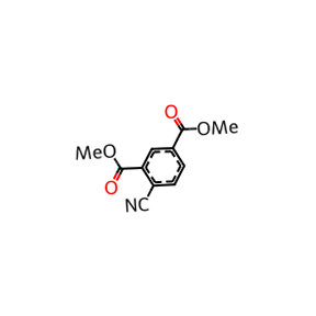 COC(=O)c1ccc(C#N)c(C(=O)OC)c1